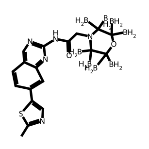 BC1(B)OC(B)(B)C(B)(B)N(CC(=O)Nc2ncc3ccc(-c4cnc(C)s4)cc3n2)C1(B)B